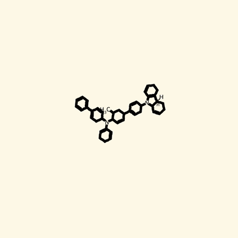 CC1CC(C2=CCC(N3C4=C(CCC=C4)[C@H]4CCC=CC43)C=C2)C=CC1N(C1=CCCC=C1)C1C=CC(c2ccccc2)=CC1